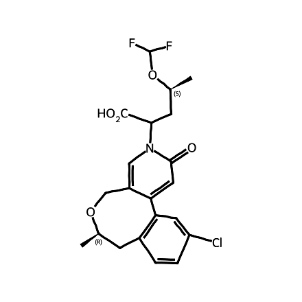 C[C@@H]1Cc2ccc(Cl)cc2-c2cc(=O)n(C(C[C@H](C)OC(F)F)C(=O)O)cc2CO1